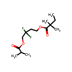 CCC(C)(C)C(=O)OCCC(F)(F)COC(=O)C(C)C